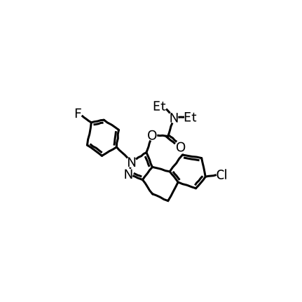 CCN(CC)C(=O)Oc1c2c(nn1-c1ccc(F)cc1)CCc1cc(Cl)ccc1-2